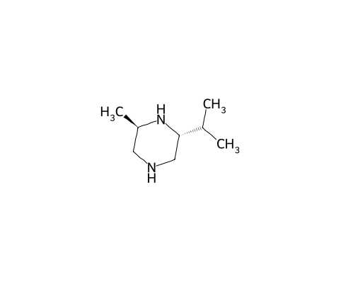 CC(C)[C@@H]1CNC[C@@H](C)N1